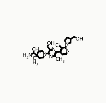 Cc1nc(N2CCC(C)(C(C)N)CC2)c(CO)nc1-c1ccnc(N2CCC(CO)C2)c1Cl